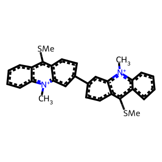 CSc1c2ccccc2[n+](C)c2cc(-c3ccc4c(SC)c5ccccc5[n+](C)c4c3)ccc12